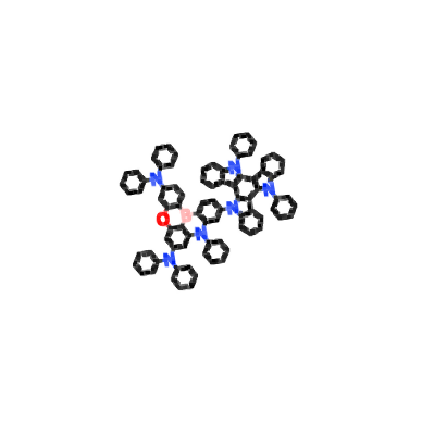 c1ccc(N(c2ccccc2)c2ccc3c(c2)Oc2cc(N(c4ccccc4)c4ccccc4)cc4c2B3c2ccc(-n3c5ccccc5c5c6c(c7ccccc7n6-c6ccccc6)c6c(c7ccccc7n6-c6ccccc6)c53)cc2N4c2ccccc2)cc1